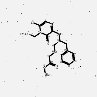 CCOC(=O)Cn1c(Cl)cnc(N[C@H](CNCC(=O)OC(C)(C)C)Cc2ccccc2)c1=O